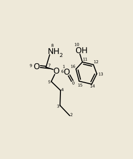 C=O.CCCCOC(N)=O.Oc1ccccc1